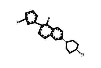 CC[C@H]1CC[C@H](c2ccc3c(F)c(-c4cccc(F)c4)ccc3c2)CC1